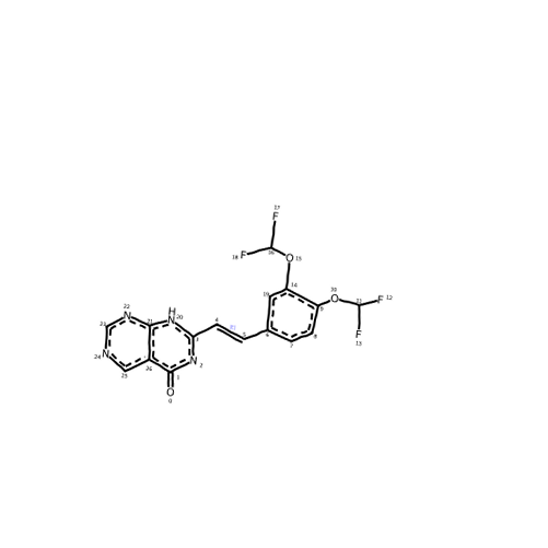 O=c1nc(/C=C/c2ccc(OC(F)F)c(OC(F)F)c2)[nH]c2ncncc12